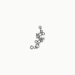 COCCOc1cc2ncnc(NC3=CC(=O)C(N4CCCN(Cc5ccccc5)CC4)=CC3=O)c2cc1OC